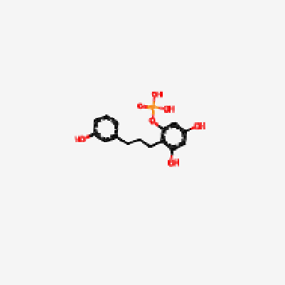 O=P(O)(O)Oc1cc(O)cc(O)c1CCCc1cccc(O)c1